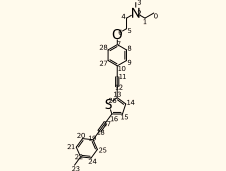 CCN(C)CCOc1ccc(C#Cc2ccc(C#Cc3ccc(C)cc3)s2)cc1